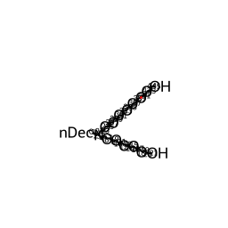 CCCCCCCCCCCCN(CCOCCOCCOCCOCCOCCO)CCOCCOCCOCCOCCOCCOCCOCCO